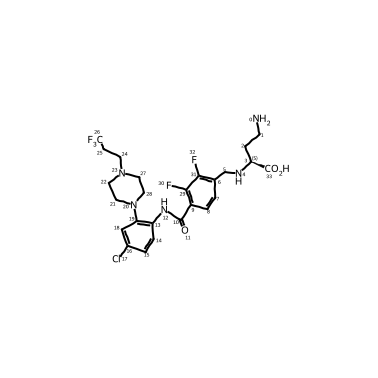 NCC[C@H](NCc1ccc(C(=O)Nc2ccc(Cl)cc2N2CCN(CCC(F)(F)F)CC2)c(F)c1F)C(=O)O